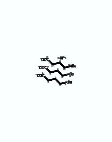 CC(C)(C)CCCC(=O)[O-].CC(C)(C)CCCC(=O)[O-].CC(C)(C)CCCC(=O)[O-].[Bi+3]